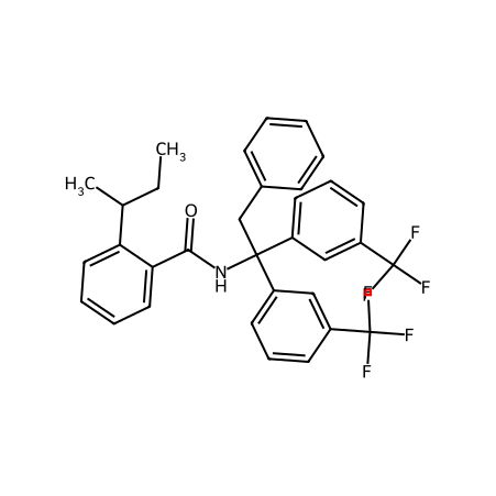 CCC(C)c1ccccc1C(=O)NC(Cc1ccccc1)(c1cccc(C(F)(F)F)c1)c1cccc(C(F)(F)F)c1